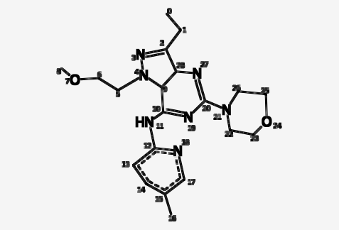 CCC1=NN(CCOC)C2C(Nc3ccc(C)cn3)=NC(N3CCOCC3)=NC12